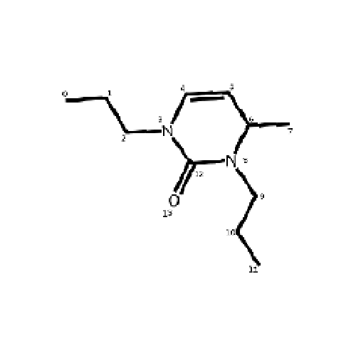 CCCN1C=CC(C)N(CCC)C1=O